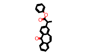 CC(C(=O)Oc1ccccc1)c1ccc2c(=O)c3ccccc3ccc2c1